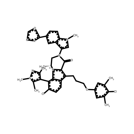 Cc1cc(OCCCc2c3n(c4c(-c5c(C)nn(C)c5C)c(Cl)ccc24)[C@H](C)CN(c2cn(C)c4ccc(-c5nnco5)cc24)C3=O)cc(C)c1Cl